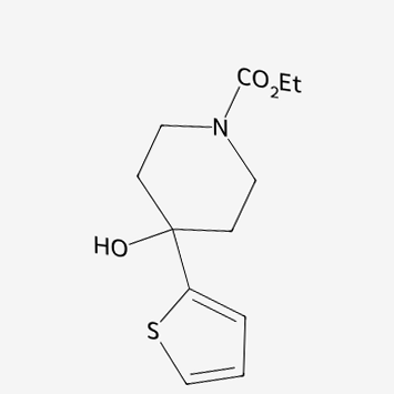 CCOC(=O)N1CCC(O)(c2cccs2)CC1